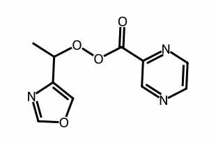 CC(OOC(=O)c1cnccn1)c1cocn1